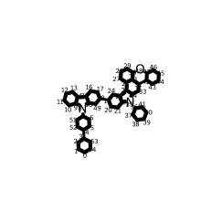 c1ccc(-c2ccc(-n3c4ccccc4c4ccc(-c5ccc6c(c5)c5c7cccc8c7c(cc5n6-c5ccccc5)-c5ccccc5O8)cc43)cc2)cc1